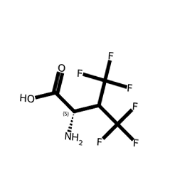 N[C@H](C(=O)O)C(C(F)(F)F)C(F)(F)F